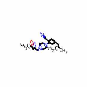 Cc1cc(CN2CCN(c3cc(CC(C)C)ccc3C#N)CC2)no1